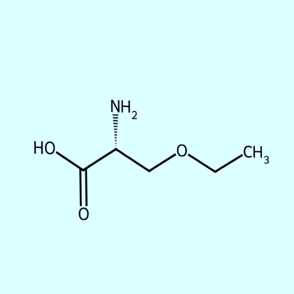 CCOC[C@@H](N)C(=O)O